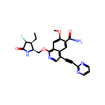 CC[C@@H]1[C@H](F)C(=O)N[C@@H]1COc1ncc(C#Cc2ncccn2)c2cc(C(N)=O)c(OC)cc12